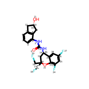 O=C(Nc1cccc2c1C[C@@H](O)C2)N[C@@H]1CC(CF)(CF)Oc2c(F)cc(F)cc21